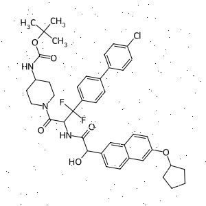 CC(C)(C)OC(=O)NC1CCN(C(=O)C(NC(=O)C(O)c2ccc3cc(OC4CCCC4)ccc3c2)C(F)(F)c2ccc(-c3ccc(Cl)cc3)cc2)CC1